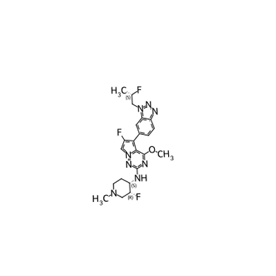 COc1nc(N[C@H]2CCN(C)C[C@H]2F)nn2cc(F)c(-c3ccc4nnn(C[C@H](C)F)c4c3)c12